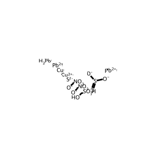 O=S(=O)(O)O.O=S([O-])[O-].O=[N+]([O-])[O-].O=[N+]([O-])[O-].[Cu+2].[Cu].[Pb+2].[Pb+2].[PbH2].[S-2]